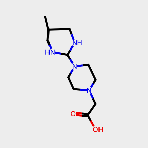 CC1CNC(N2CCN(CC(=O)O)CC2)NC1